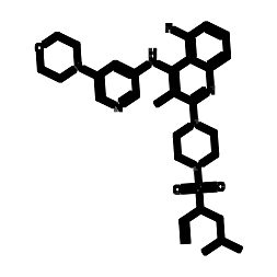 C=CC(CC(C)C)S(=O)(=O)N1CCN(c2nc3cccc(F)c3c(Nc3cncc(N4CCOCC4)c3)c2C)CC1